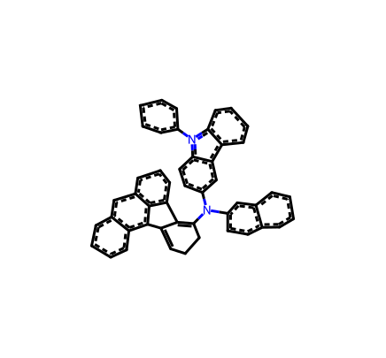 C1=C2C(=C(N(c3ccc4ccccc4c3)c3ccc4c(c3)c3ccccc3n4-c3ccccc3)CC1)c1cccc3cc4ccccc4c2c13